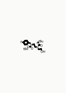 CC(C)(C)OC(=O)N(CCO)CCN(Cc1ccc(F)cc1)C(=O)OC(C)(C)C